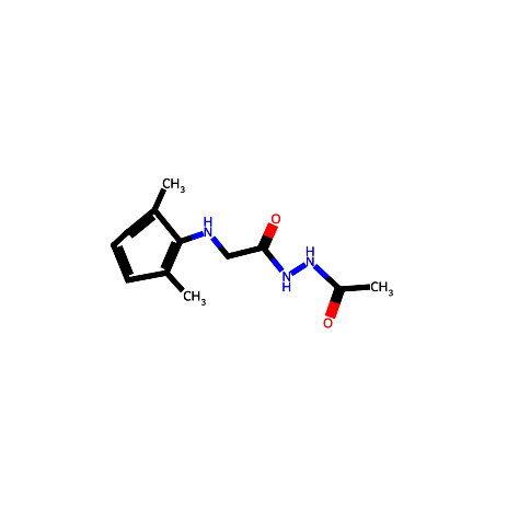 CC(=O)NNC(=O)CNc1c(C)cccc1C